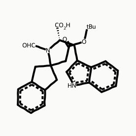 CC(C)(C)OC(=O)CC1(N(C=O)[C@@H](Cc2c[nH]c3ccccc23)C(=O)O)Cc2ccccc2C1